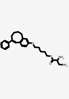 NCC(N)C(=O)OCCCCCOc1ccc2c(c1)CCCC/C(c1ccccc1)=C\2